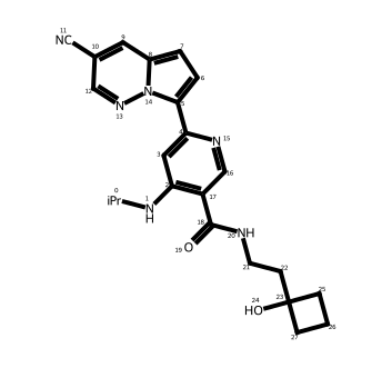 CC(C)Nc1cc(-c2ccc3cc(C#N)cnn23)ncc1C(=O)NCCC1(O)CCC1